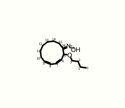 CCCCOC1C=CC=CCCCCCCC1=NO